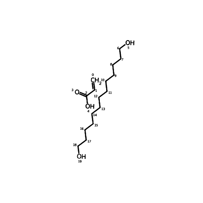 C=CC(=O)O.OCCCCCCCCCCCCCO